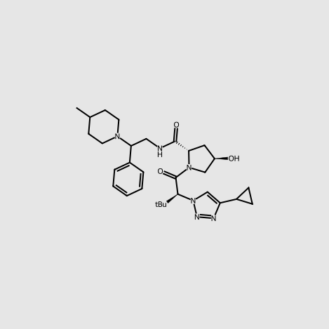 CC1CCN(C(CNC(=O)[C@@H]2C[C@@H](O)CN2C(=O)[C@@H](n2cc(C3CC3)nn2)C(C)(C)C)c2ccccc2)CC1